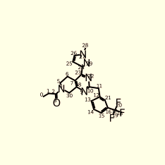 CCC(=O)N1CCc2c(nc(Cc3cccc(C(F)(F)F)c3)nc2-c2ccn(C)n2)C1